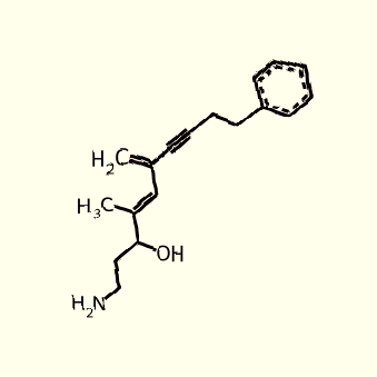 C=C(C#CCCc1ccccc1)/C=C(\C)C(O)CCN